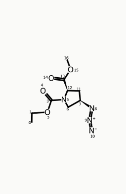 CCOC(=O)N1C[C@H](N=[N+]=[N-])C[C@@H]1C(=O)OC